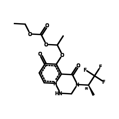 CCOC(=O)OC(C)Oc1c2n(ccc1=O)NCN([C@H](C)C(F)(F)F)C2=O